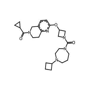 O=C(C1CC1)N1CCc2nc(OC3CN(C(=O)N4CCCN(C5CCC5)CC4)C3)ccc2C1